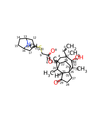 C=C[C@]1(C)C[C@@H](OC(=O)CSC2CC3CCC(C2)N3C)C2(C)C(C)CC[C@]3(CCC(=O)[C@@H]23)[C@@H](C)[C@@H]1O